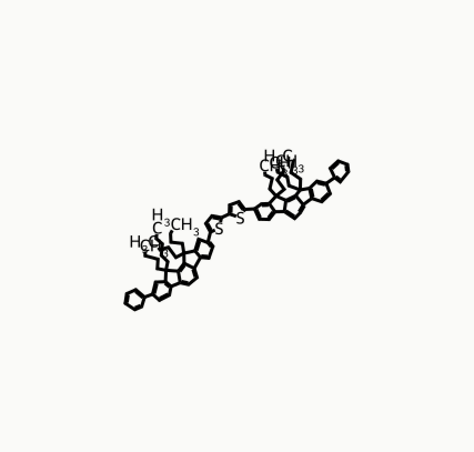 CCCCCC1(CCCC)c2cc(-c3ccccc3)ccc2-c2ccc3c(c21)C(CCCC)(CCCC)c1cc(-c2ccc(-c4ccc(-c5ccc6c(c5)C(CCCC)(CCCC)c5c-6ccc6c5C(CCCC)(CCCC)c5cc(-c7ccccc7)ccc5-6)s4)s2)ccc1-3